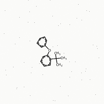 CC(C)(C)c1ccc[c]c1Oc1ccccc1